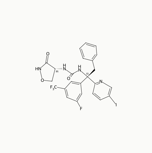 O=C(N[C@@H]1CONC1=O)N[C@@](Cc1ccccc1)(c1cc(F)cc(C(F)(F)F)c1)c1ccc(I)cn1